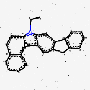 CCn1c2cc3c(cc2c2c4ccccc4ccc21)Cc1ccccc1-3